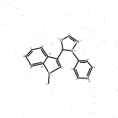 Cn1cc(C2OC=NN2c2ccncc2)c2ccccc21